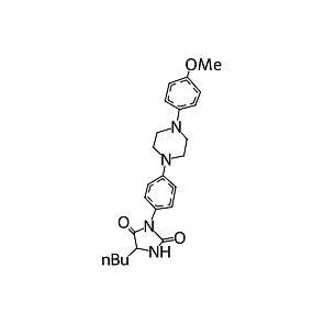 CCCCC1NC(=O)N(c2ccc(N3CCN(c4ccc(OC)cc4)CC3)cc2)C1=O